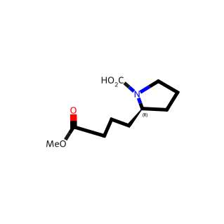 COC(=O)CCC[C@@H]1CCCN1C(=O)O